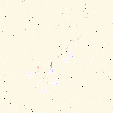 COc1ccc(-c2nnc(Cn3c(Cl)nc4c3C(=O)N(C)COCN4C)o2)cc1